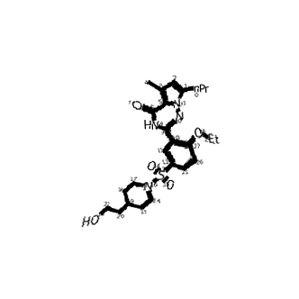 CCCc1cc(C)c2c(=O)[nH]c(-c3cc(S(=O)(=O)N4CCC(CCO)CC4)ccc3OCC)nn12